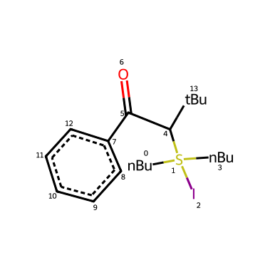 CCCCS(I)(CCCC)C(C(=O)c1ccccc1)C(C)(C)C